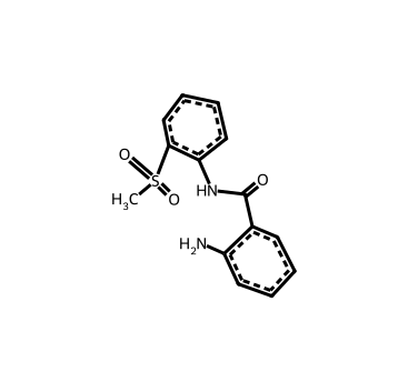 CS(=O)(=O)c1ccccc1NC(=O)c1ccccc1N